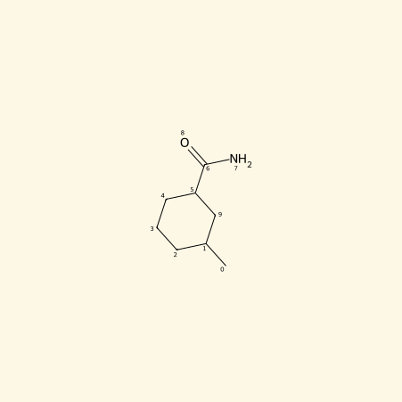 CC1CCCC(C(N)=O)C1